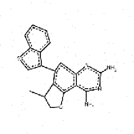 CC1COc2c1c(-c1csc3ccccc13)cc1nc(N)nc(N)c21